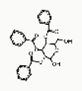 O=C(O[C@@H]1[C@@H](OC(=O)c2ccccc2)[C@H](O)O[C@H](CO)[C@@H]1OC(=O)c1ccccc1)c1ccccc1